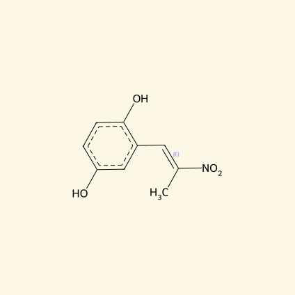 C/C(=C\c1cc(O)ccc1O)[N+](=O)[O-]